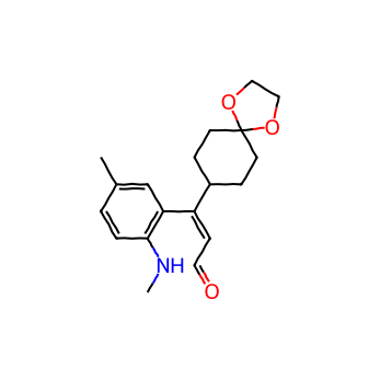 CNc1ccc(C)cc1/C(=C\C=O)C1CCC2(CC1)OCCO2